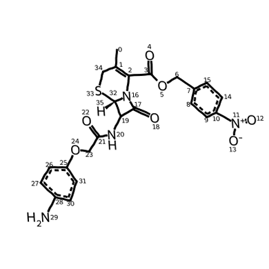 CC1=C(C(=O)OCc2ccc([N+](=O)[O-])cc2)N2C(=O)C(NC(=O)COc3ccc(N)cc3)[C@@H]2SC1